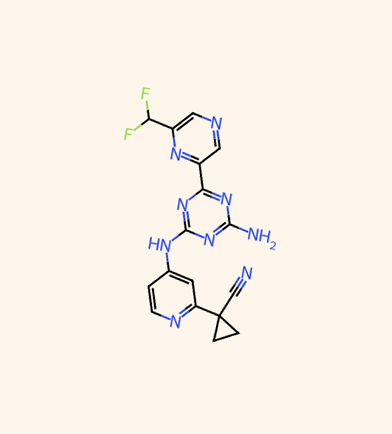 N#CC1(c2cc(Nc3nc(N)nc(-c4cncc(C(F)F)n4)n3)ccn2)CC1